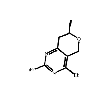 CCc1nc(C(C)C)nc2c1CO[C@H](C)C2